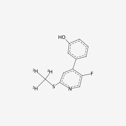 [2H]C([2H])([2H])Sc1cc(-c2cccc(O)c2)c(F)cn1